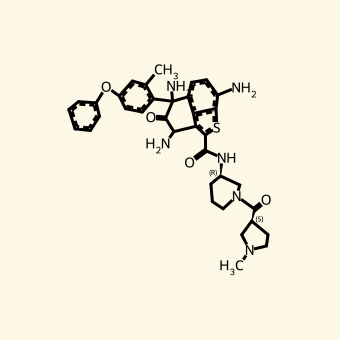 Cc1cc(Oc2ccccc2)ccc1C1(N)C(=O)C(N)c2c(C(=O)N[C@@H]3CCCN(C(=O)[C@H]4CCN(C)C4)C3)sc3c(N)ccc1c23